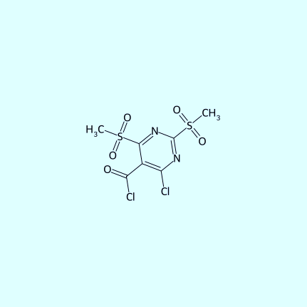 CS(=O)(=O)c1nc(Cl)c(C(=O)Cl)c(S(C)(=O)=O)n1